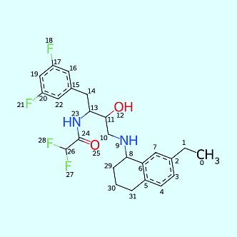 CCc1ccc2c(c1)C(NCC(O)C(Cc1cc(F)cc(F)c1)NC(=O)C(F)F)CCC2